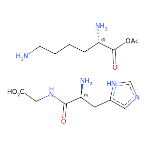 CC(=O)OC(=O)[C@@H](N)CCCCN.N[C@@H](Cc1cnc[nH]1)C(=O)NCC(=O)O